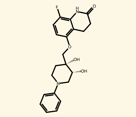 O=C1CCc2c(OC[C@]3(O)CCN(c4ccccc4)C[C@H]3O)ccc(F)c2N1